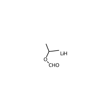 CC(C)OC=O.[LiH]